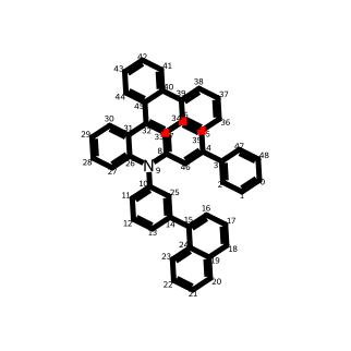 c1ccc(-c2cccc(N(c3cccc(-c4cccc5ccccc45)c3)c3ccccc3-c3cc4ccccc4c4ccccc34)c2)cc1